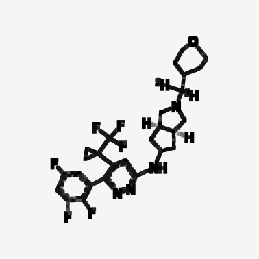 [2H]C([2H])(C1CCOCC1)N1C[C@H]2CC(Nc3cc(C4(C(F)(F)F)CC4)c(-c4cc(F)cc(F)c4F)nn3)C[C@H]2C1